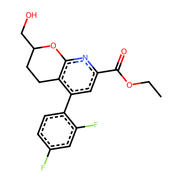 CCOC(=O)c1cc(-c2ccc(F)cc2F)c2c(n1)OC(CO)CC2